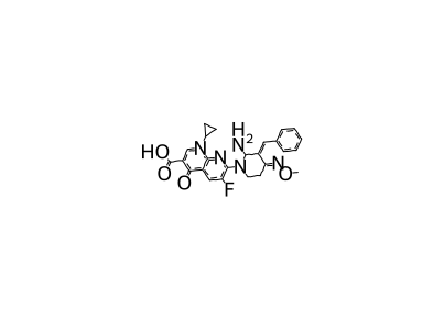 CON=C1CCN(c2nc3c(cc2F)c(=O)c(C(=O)O)cn3C2CC2)C(N)C1=Cc1ccccc1